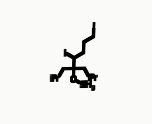 CC(C)CC(CC(C)C)(O[SiH3])C(I)CCCI